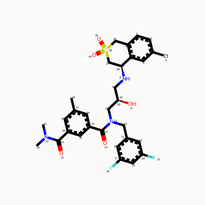 CCc1ccc2c(c1)[C@@H](NC[C@@H](O)CN(Cc1cc(F)cc(F)c1)C(=O)c1cc(C)cc(C(=O)N(C)C)c1)CS(=O)(=O)C2